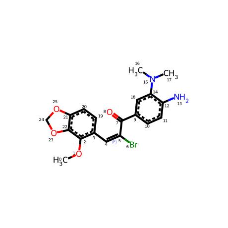 COc1c(/C=C(/Br)C(=O)c2ccc(N)c(N(C)C)c2)ccc2c1OCO2